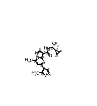 Cc1nscc1-c1cc(C)n2ncc(C(=O)N[C@@H](C3CC3)C(F)(F)F)c2n1